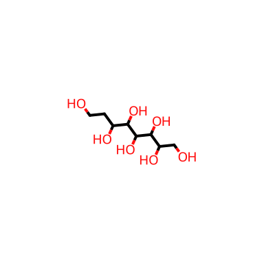 OCCC(O)C(O)C(O)C(O)C(O)CO